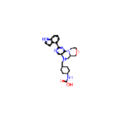 O=C(O)NC1CCC(CN2CC3COCCN3c3nc(-c4cccc5[nH]ccc45)ncc32)CC1